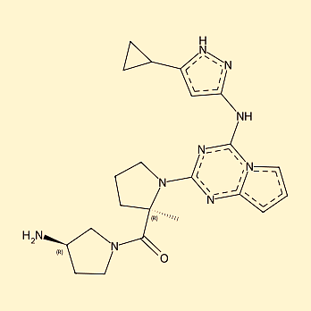 C[C@]1(C(=O)N2CC[C@@H](N)C2)CCCN1c1nc(Nc2cc(C3CC3)[nH]n2)n2cccc2n1